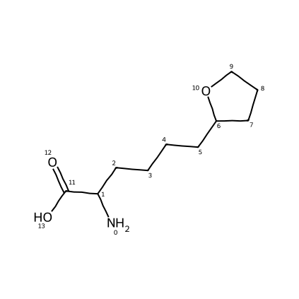 NC(CCCCC1CCCO1)C(=O)O